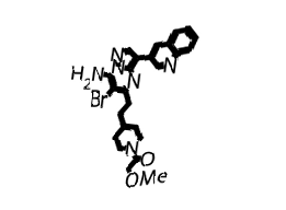 COCC(=O)N1CCC(CCc2nc3c(-c4cnc5ccccc5c4)cnn3c(N)c2Br)CC1